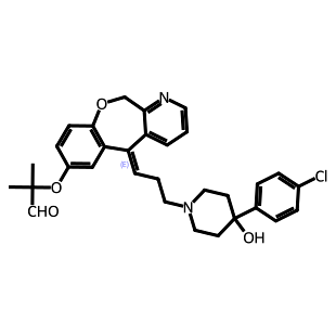 CC(C)(C=O)Oc1ccc2c(c1)/C(=C/CCN1CCC(O)(c3ccc(Cl)cc3)CC1)c1cccnc1CO2